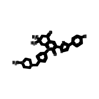 CN1CCN(Cc2ccc(-n3c4c(cc(-c5nc(-c6ccc(Cl)cc6)cs5)c3=O)C(=O)CC(C)(C)C4)cc2)CC1